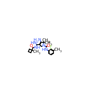 Cc1cccc(NC(=O)N2CC(C(=N)NC(=O)C3(C)CCC3)=C(N)C2(C)C)c1F